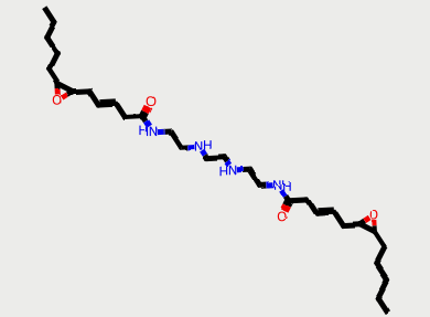 CCCCCC1OC1C/C=C/CC(=O)NCCNCCNCCNC(=O)C/C=C/CC1OC1CCCCC